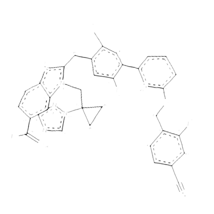 N#Cc1ccc(COc2cccc(-c3cc(F)c(Cc4nc5ccc(C(=O)O)cc5n4CC4(n5cncn5)CC4)cc3F)n2)c(F)c1